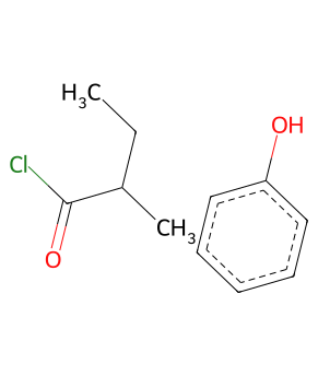 CCC(C)C(=O)Cl.Oc1ccccc1